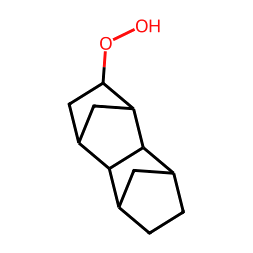 OOC1CC2CC1C1C3CCC(C3)C21